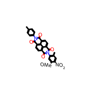 COc1cc(N2C(=O)c3ccc4c5c(ccc(c35)C2=O)C(=O)N(c2ccc(C)cc2)C4=O)c(C)cc1[N+](=O)[O-]